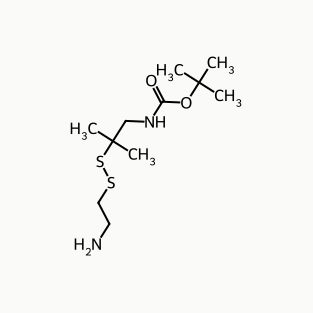 CC(C)(C)OC(=O)NCC(C)(C)SSCCN